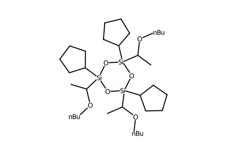 CCCCOC(C)[Si]1(C2CCCC2)O[Si](C2CCCC2)(C(C)OCCCC)O[Si](C2CCCC2)(C(C)OCCCC)O1